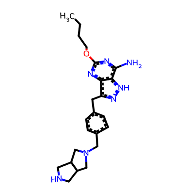 CCCCOc1nc(N)c2[nH]nc(Cc3ccc(CN4CC5CNCC5C4)cc3)c2n1